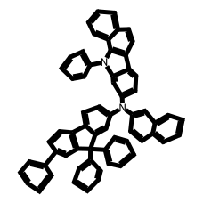 c1ccc(-c2ccc3c(c2)C(c2ccccc2)(c2ccccc2)c2cc(N(c4ccc5ccccc5c4)c4ccc5c6ccc7ccccc7c6n(-c6ccccc6)c5c4)ccc2-3)cc1